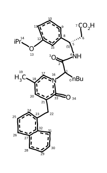 CCCCC(C(=O)N[C@@H](CC(=O)O)c1cccc(OC(C)C)c1)n1cc(C)cc(Cc2cccc3ccccc23)c1=O